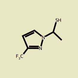 CC(S)n1ccc(C(F)(F)F)n1